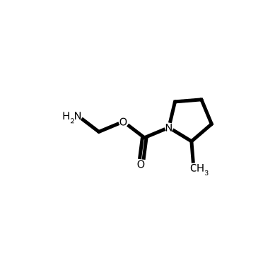 CC1CCCN1C(=O)OCN